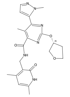 Cc1cc(C)c(CNC(=O)c2nc(O[C@@H]3CCOC3)nc(-c3ccnn3C)c2C)c(=O)[nH]1